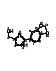 OCc1c[nH]c(-c2ccc3c(c2)OCO3)n1